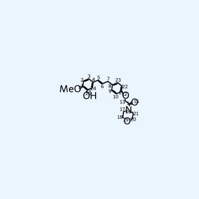 COc1ccc(/C=C/Cc2ccc(OCC(=O)N3CCOCC3)cc2)cc1O